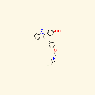 Oc1ccc(-c2[nH]c3ccccc3c2CCc2ccc(OCCN3CC(CF)C3)cc2)cc1